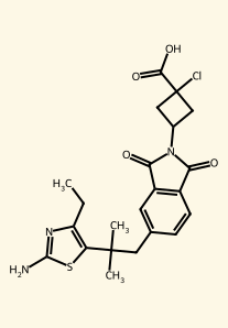 CCc1nc(N)sc1C(C)(C)Cc1ccc2c(c1)C(=O)N(C1CC(Cl)(C(=O)O)C1)C2=O